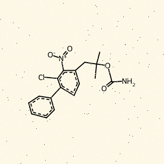 CC(C)(Cc1ccc(-c2ccccc2)c(Cl)c1[N+](=O)[O-])OC(N)=O